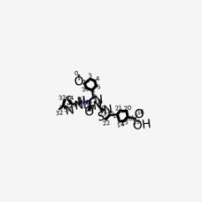 COc1cccc(C2=NN(c3nc(-c4ccc(C(=O)O)cc4)cs3)C(=O)/C2=N\Nc2nc(C)cs2)c1